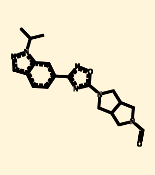 CC(C)n1ncc2ccc(-c3noc(N4CC5CN(C=O)CC5C4)n3)cc21